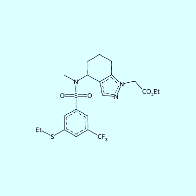 CCOC(=O)Cn1ncc2c1CCCC2N(C)S(=O)(=O)c1cc(SCC)cc(C(F)(F)F)c1